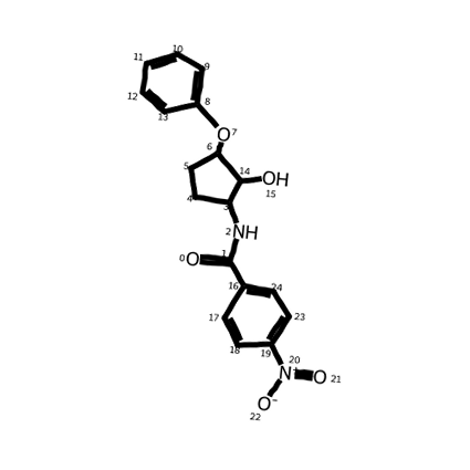 O=C(NC1CCC(Oc2ccccc2)C1O)c1ccc([N+](=O)[O-])cc1